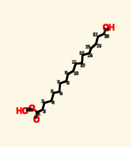 O=C(CCCCCCCCCCCCCCCCCO)OO